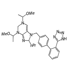 CCCC1N=C2C(=CN(C(C)OC)CN2C(C)OC)N1Cc1ccc(-c2ccccc2-c2nnn[nH]2)cc1